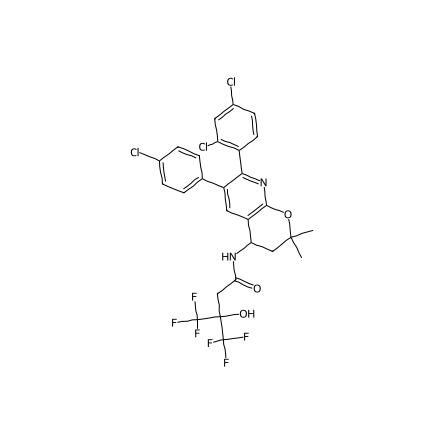 CC1(C)CC(NC(=O)CC(O)(C(F)(F)F)C(F)(F)F)c2cc(-c3ccc(Cl)cc3)c(-c3ccc(Cl)cc3Cl)nc2O1